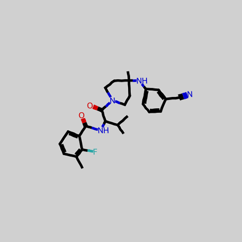 Cc1cccc(C(=O)NC(C(=O)N2CCC(C)(Nc3cccc(C#N)c3)CC2)C(C)C)c1F